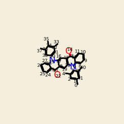 Cc1cc(C)c(-n2c3ccccc3c(=O)c3cc4c(cc32)c(=O)c2ccccc2n4-c2cc(C)c(C)c(C)c2)c(C)c1